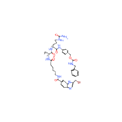 CC(C)[C@H](NC(=O)CCCCCNC(=O)c1ccc2ncc(CBr)nc2c1)C(=O)N[C@@H](CCCNC(N)=O)C(=O)Nc1ccc(COC(=O)NCc2ccccc2)cc1